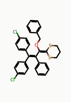 Clc1ccc(C(=C(C(OCc2ccccc2)=C2SCCCS2)c2ccccc2)c2ccc(Cl)cc2)cc1